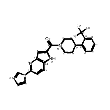 O=C(c1cc2nc(-n3ccnc3)ccc2[nH]1)N1CCC(c2ccccc2C(F)(F)F)CC1